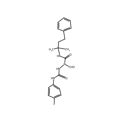 CC(C)(CCc1ccccc1)NC(=O)N(C=O)NC(=O)Nc1ccc(F)cc1